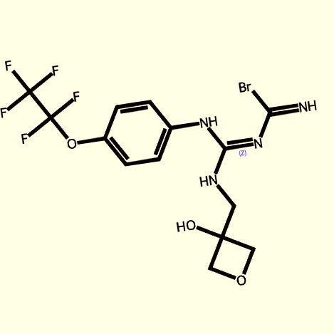 N=C(Br)/N=C(/NCC1(O)COC1)Nc1ccc(OC(F)(F)C(F)(F)F)cc1